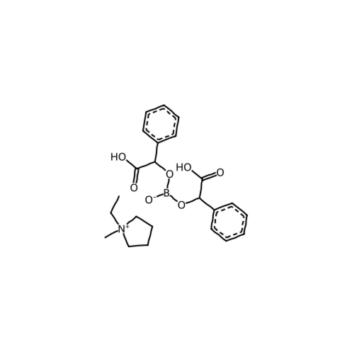 CC[N+]1(C)CCCC1.O=C(O)C(OB([O-])OC(C(=O)O)c1ccccc1)c1ccccc1